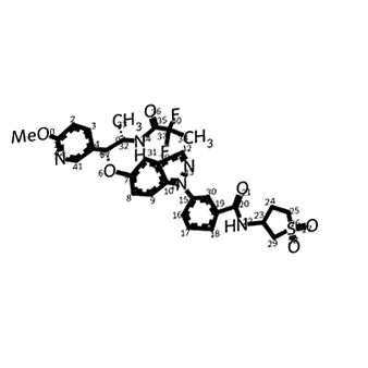 COc1ccc([C@@H](Oc2ccc3c(cnn3-c3cccc(C(=O)NC4CCS(=O)(=O)C4)c3)c2)[C@H](C)NC(=O)C(C)(F)F)cn1